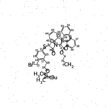 C=CCOC(=O)C(N1C[C@H](Sc2ccc(CBr)c(CCO[Si](C)(C)C(C)(C)C)c2)C1=O)=P(c1ccccc1)(c1ccccc1)c1ccccc1